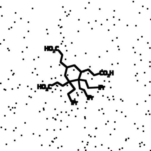 CC(C)CCC1(CCC(=O)O)CC(CCC(=O)O)CC(CCC(=O)O)C1(CCC(C)C)CCC(C)C